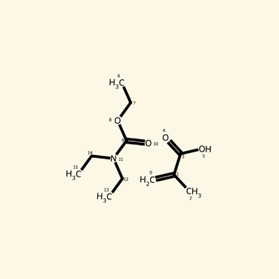 C=C(C)C(=O)O.CCOC(=O)N(CC)CC